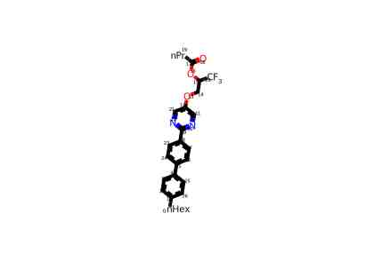 CCCCCCc1ccc(-c2ccc(-c3ncc(OCC(OC(=O)CCC)C(F)(F)F)cn3)cc2)cc1